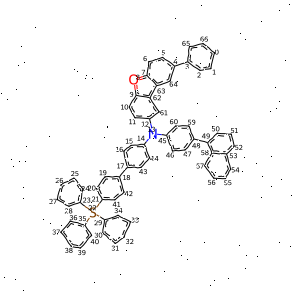 c1ccc(-c2ccc3oc4ccc(N(c5ccc(-c6ccc(S(c7ccccc7)(c7ccccc7)c7ccccc7)cc6)cc5)c5ccc(-c6cccc7ccccc67)cc5)cc4c3c2)cc1